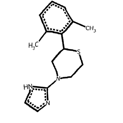 Cc1cccc(C)c1C1CN(c2ncc[nH]2)CCS1